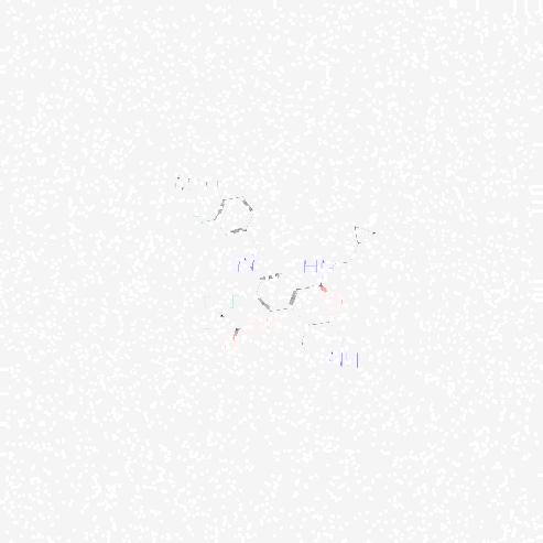 COc1ccc(CNc2ccc(C3CCNCC3)c(C(=O)NCC3CC3)c2)cc1F.O=C(O)C(F)(F)F